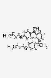 C=C(c1ccc(SCCCC)cc1)c1cccc(C(=C)c2ccc(SCCCC)cc2)c1